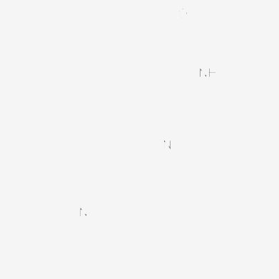 O=Cc1cc2c([nH]1)CCCCN2CCCN1CCCCC1